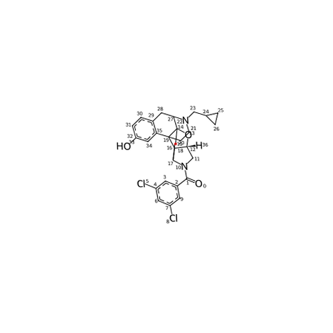 O=C(c1cc(Cl)cc(Cl)c1)N1C[C@H]2OC34CCC1C2C31CCN(CC2CC2)C4Cc2ccc(O)cc21